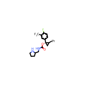 CC(C)C1C[C@@]1(OC(=O)NCC1CCCN1)c1ccc(F)c(C(F)(F)F)c1